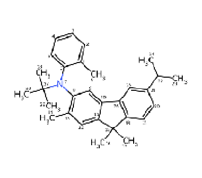 Cc1ccccc1N(c1cc2c(cc1C)C(C)(C)c1ccc(C(C)C)cc1-2)C(C)(C)C